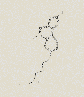 CCCc1nc2c[n+](O)c3cc(OCCCNC(=O)[O-])ccc3c2s1